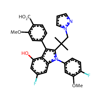 COc1cc(-n2c(C(C)(C)Cn3cccn3)c(-c3ccc(C(=O)O)c(OC)c3)c3c(O)cc(F)cc32)ccc1F